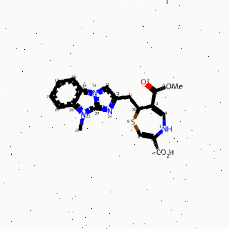 COC(=O)C1=CNC(C(=O)O)=CSC1Cc1cn2c3ccccc3n(C)c2n1